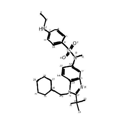 CCNc1ccc(S(=O)(=O)N(C)c2ccc3c(c2)nc(C(C)(C)C)n3CC2CCCCC2)cc1